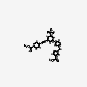 CC(=O)c1ccc(C#Cc2cc(-c3csc(Cn4cc(C(=O)O)cn4)n3)cc(C(F)(F)F)c2)cc1